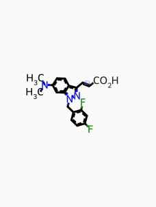 CN(C)c1ccc2c(/C=C/C(=O)O)nn(Cc3ccc(F)cc3F)c2c1